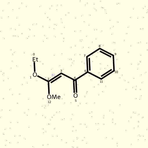 CCO/C(=C/C(=O)c1ccccc1)OC